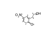 O=C1CC=C([N+](=O)[O-])C=C1CCO